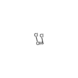 CCl.OCl